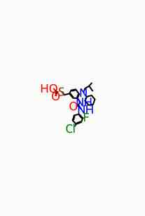 CC(C)CN(c1ccc(CSC(=O)O)cc1NC(=O)Nc1ccc(Cl)cc1F)C1CCCCC1